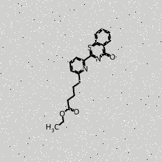 CCOC(=O)CCCCc1cccc(-c2nc(=O)c3ccccc3s2)n1